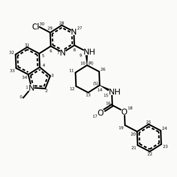 Cn1ccc2c(-c3nc(N[C@@H]4CCC[C@H](NC(=O)OCc5ccccc5)C4)ncc3Cl)cccc21